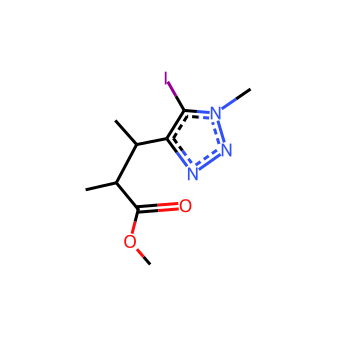 COC(=O)C(C)C(C)c1nnn(C)c1I